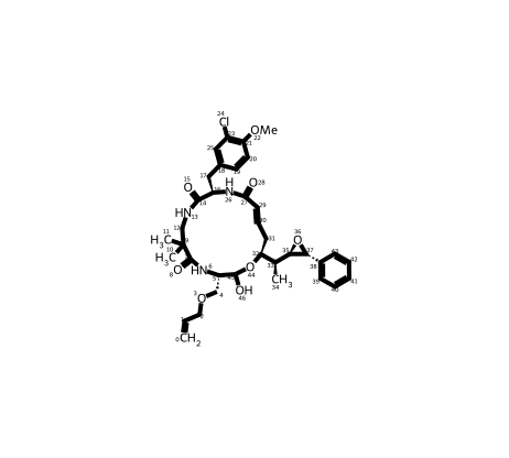 C=CCOC[C@@H]1NC(=O)C(C)(C)CNC(=O)[C@@H](Cc2ccc(OC)c(Cl)c2)NC(=O)/C=C/C[C@@H]([C@H](C)[C@H]2O[C@@H]2c2ccccc2)OC1O